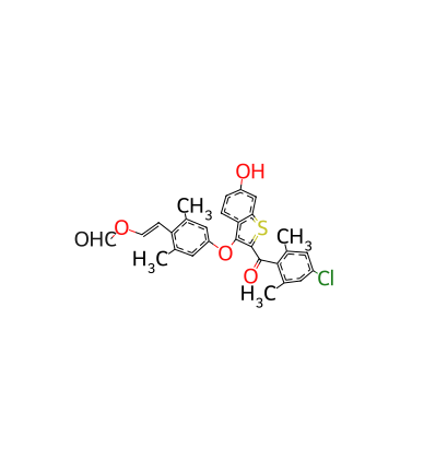 Cc1cc(Oc2c(C(=O)c3c(C)cc(Cl)cc3C)sc3cc(O)ccc23)cc(C)c1/C=C/OC=O